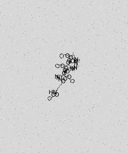 C[C@@H]1C(COCc2ccccc2)O[C@H](OP(C)(=O)O[C@@H]2C(COCc3ccccc3)O[C@H](OP(C)(=O)O[C@@H]3C(COCc4ccccc4)O[C@H](OCCCCCCNC(=O)OCc4ccccc4)C(N=[N+]=[N-])[C@H]3C)C(N=[N+]=[N-])[C@H]2C)C(N=[N+]=[N-])[C@H]1C